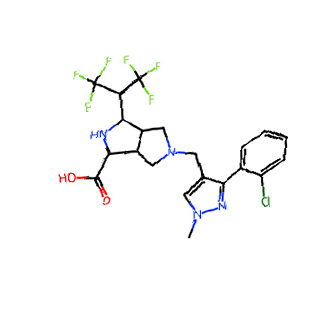 Cn1cc(CN2CC3C(C(=O)O)NC(C(C(F)(F)F)C(F)(F)F)C3C2)c(-c2ccccc2Cl)n1